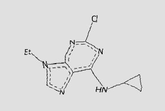 CCn1cnc2c(NC3CC3)nc(Cl)nc21